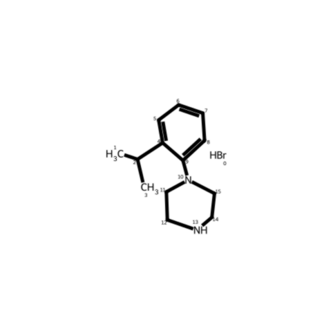 Br.CC(C)c1ccccc1N1CCNCC1